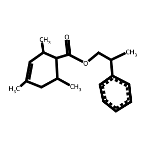 CC1=CC(C)C(C(=O)OCC(C)c2ccccc2)C(C)C1